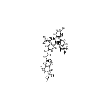 COC(=O)c1cc(C)c(OC(=O)CCCc2ccc(NC(=O)c3ccc(C)nc3-c3ccc(C(F)(F)F)cc3)c(C(=O)N(C)C)c2)c(F)c1